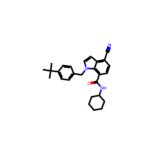 CC(C)(C)c1ccc(Cn2ccc3c(C#N)ccc(C(=O)NC4CCCCC4)c32)cc1